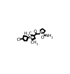 Cc1cc(C(=O)CN2CCC[C@@H]2C(N)=O)c(C)n1-c1ccc(Cl)cc1